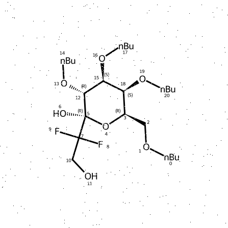 CCCCOC[C@H]1O[C@@](O)(C(F)(F)CO)[C@H](OCCCC)[C@@H](OCCCC)[C@H]1OCCCC